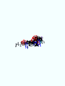 COCC(=O)Nc1cccc(-c2c(C)n(C3CC3)c(=O)c3c(Nc4ccc(I)cc4F)c(C)c(=O)oc23)c1